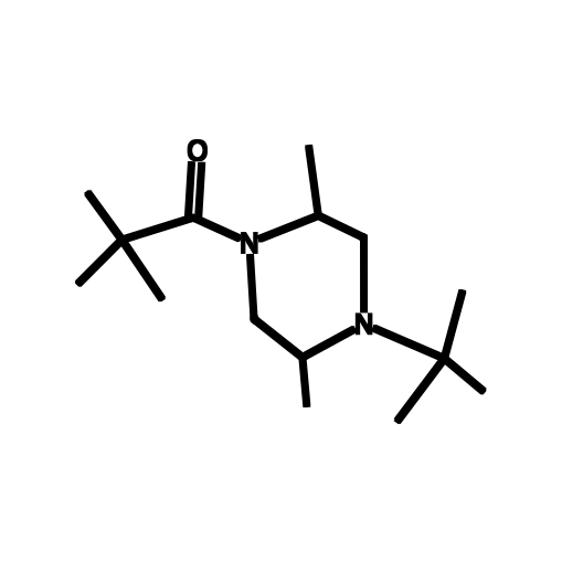 CC1CN(C(C)(C)C)C(C)CN1C(=O)C(C)(C)C